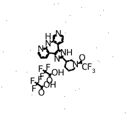 O=C(N1CCCC(c2nc3c([nH]2)-c2ccncc2Nc2ncccc2-3)C1)C(F)(F)F.O=C(O)C(F)(F)F.O=C(O)C(F)(F)F